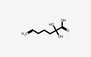 C=CCCCC(O)(O)C(=O)O